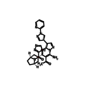 CC(=O)c1c([C@@H]2C[C@H]3CC[C@@H](C2)N3C(=O)c2nnc[nH]2)nc2c(-c3cnn(-c4ccccn4)c3)cnn2c1N